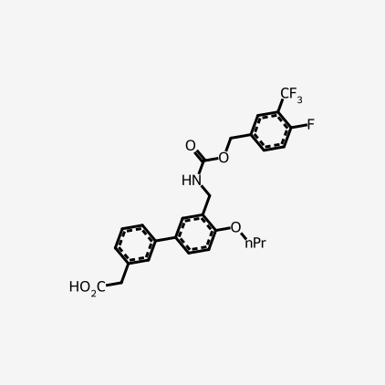 CCCOc1ccc(-c2cccc(CC(=O)O)c2)cc1CNC(=O)OCc1ccc(F)c(C(F)(F)F)c1